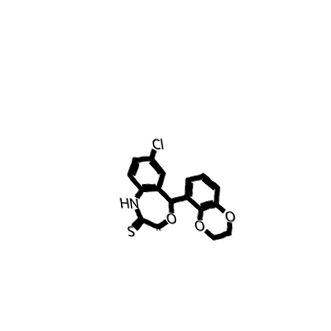 S=C1[C]OC(c2cccc3c2OCCO3)c2cc(Cl)ccc2N1